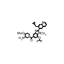 CO[C@@H]1CCN(C(=O)c2cc(OC(F)F)c3c(c2)nc(-c2cc4cccnc4cc2CC2CC2)n3C)C[C@@H]1N